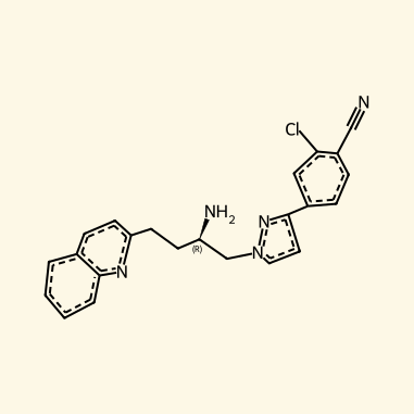 N#Cc1ccc(-c2ccn(C[C@H](N)CCc3ccc4ccccc4n3)n2)cc1Cl